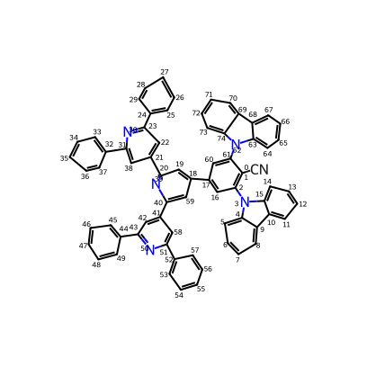 N#Cc1c(-n2c3ccccc3c3ccccc32)cc(-c2cc(-c3cc(-c4ccccc4)nc(-c4ccccc4)c3)nc(-c3cc(-c4ccccc4)nc(-c4ccccc4)c3)c2)cc1-n1c2ccccc2c2ccccc21